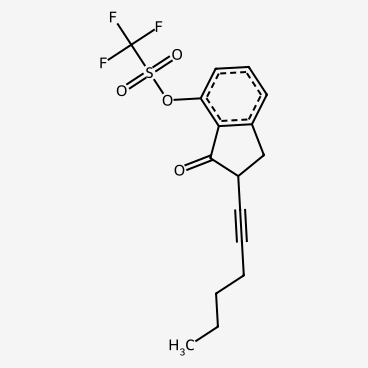 CCCCC#CC1Cc2cccc(OS(=O)(=O)C(F)(F)F)c2C1=O